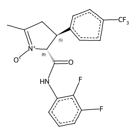 CC1=[N+]([O-])[C@@H](C(=O)Nc2cccc(F)c2F)[C@H](c2ccc(C(F)(F)F)cc2)C1